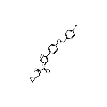 O=C(NCC1CC1)n1cnc(-c2ccc(OCc3ccc(F)cc3)cc2)c1